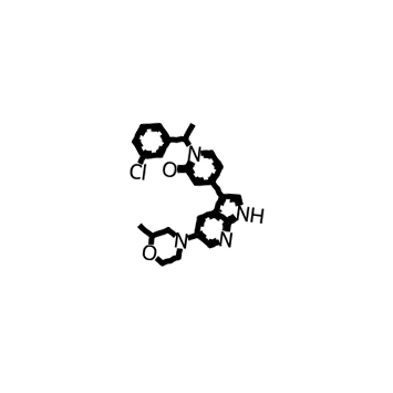 CC1CN(c2cnc3[nH]cc(-c4ccn(C(C)c5cccc(Cl)c5)c(=O)c4)c3c2)CCO1